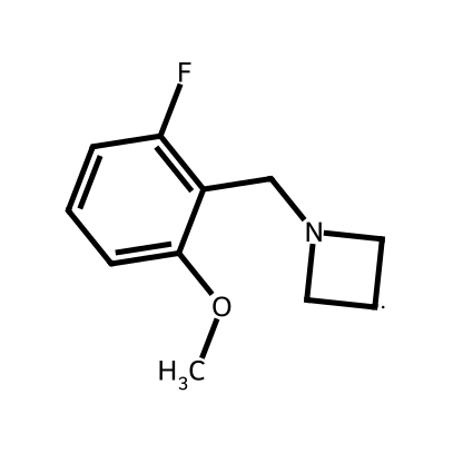 COc1cccc(F)c1CN1C[CH]C1